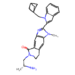 C[C@@H](N)CN1CCc2cc3c(cc2C1=O)nc(-c1cc2ccccc2n1CC12CC(C1)C2)n3C